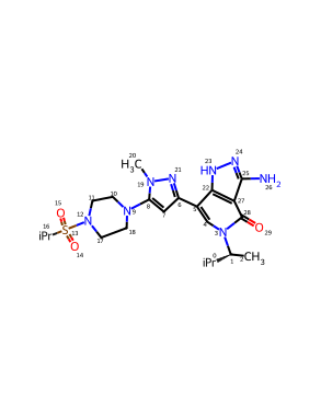 CC(C)[C@H](C)n1cc(-c2cc(N3CCN(S(=O)(=O)C(C)C)CC3)n(C)n2)c2[nH]nc(N)c2c1=O